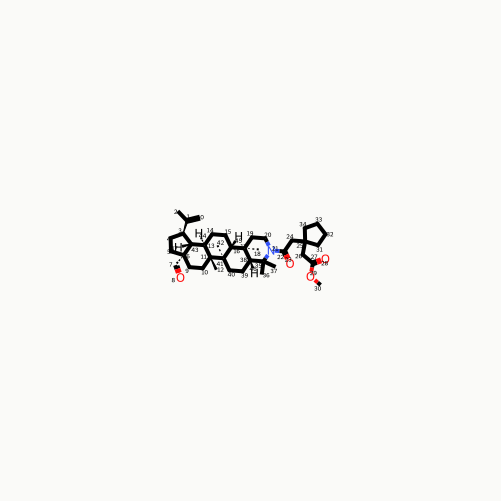 C=C(C)[C@@H]1CC[C@]2(C=O)CC[C@]3(C)[C@H](CC[C@@H]4[C@@]5(C)CCN(C(=O)CC6(CC(=O)OC)CCCC6)C(C)(C)[C@@H]5CC[C@]43C)[C@@H]12